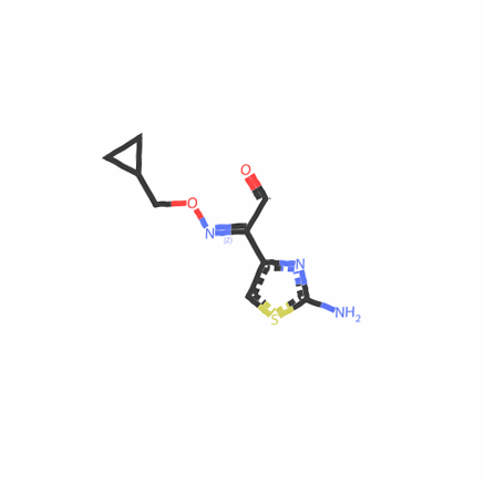 Nc1nc(/C([C]=O)=N/OCC2CC2)cs1